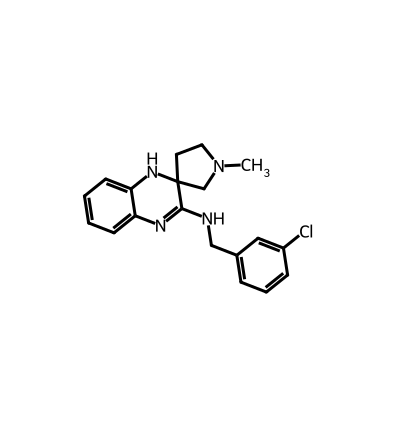 CN1CCC2(C1)Nc1ccccc1N=C2NCc1cccc(Cl)c1